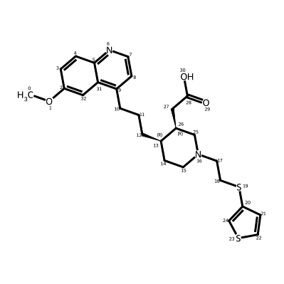 COc1ccc2nccc(CCC[C@@H]3CCN(CCSc4ccsc4)C[C@@H]3CC(=O)O)c2c1